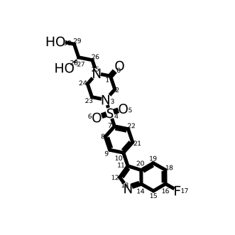 O=C1CN(S(=O)(=O)c2ccc(C3=CN=C4CC(F)=CC=C34)cc2)CCN1C[C@H](O)CO